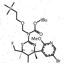 COc1ncc(Br)cc1[C@@]1(C)N=C(N(COCC[Si](C)(C)C)C(=O)OC(C)(C)C)S[C@](C)(CF)C1C